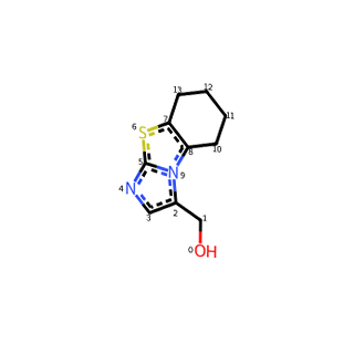 OCc1cnc2sc3c(n12)CCCC3